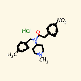 Cc1ccc(CN(C(=O)Cc2ccc([N+](=O)[O-])cc2)C2CCN(C)CC2)cc1.Cl